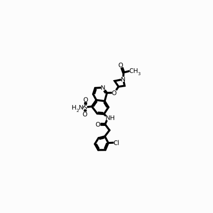 CC(=O)N1CC(Oc2nccc3c(S(N)(=O)=O)cc(NC(=O)Cc4ccccc4Cl)cc23)C1